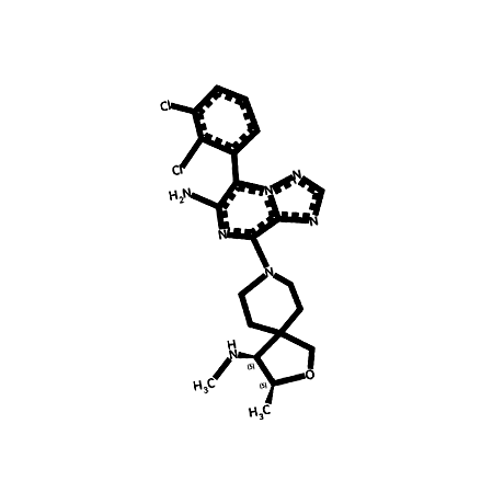 CN[C@@H]1[C@H](C)OCC12CCN(c1nc(N)c(-c3cccc(Cl)c3Cl)n3ncnc13)CC2